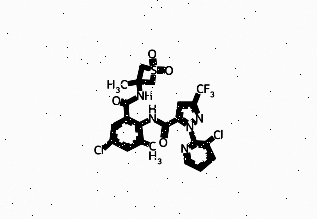 Cc1cc(Cl)cc(C(=O)NC2(C)CS(=O)(=O)C2)c1NC(=O)c1cc(C(F)(F)F)nn1-c1ncccc1Cl